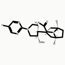 CO[C@@H]1CN(c2ncc(F)cn2)CC[C@@H]1[C@@H]1C[C@H]2CC[C@@H](C1)N2CC(N)=O